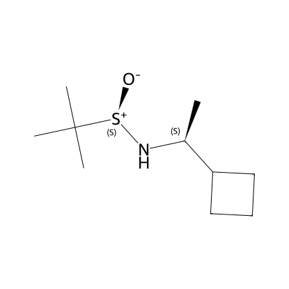 C[C@H](N[S@+]([O-])C(C)(C)C)C1CCC1